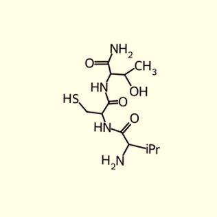 CC(C)C(N)C(=O)NC(CS)C(=O)NC(C(N)=O)C(C)O